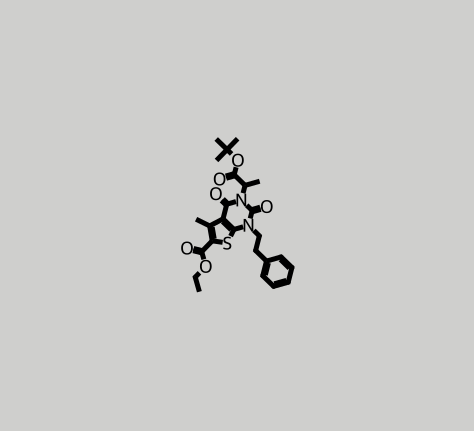 CCOC(=O)c1sc2c(c1C)c(=O)n(C(C)C(=O)OC(C)(C)C)c(=O)n2CCc1ccccc1